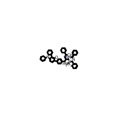 C/C(=C\C(C(N)c1ccc2c(c1)oc1c3c(ccc12)N(C1C=CC=CC1)C1CC=CC=C31)C1NC(c2ccccc2)=NC(C2=CC=CCC2)N1C)C1C=CCCC1